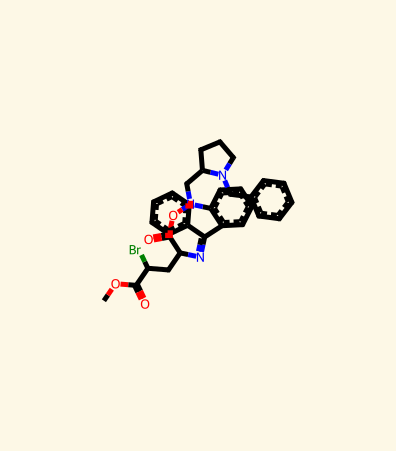 COC(=O)C(Br)CC1/N=C(\c2ccccc2)c2ccccc2N(CC2CCCN2Cc2ccccc2)OC1=O